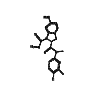 COc1ccc2c(c1)N(C(=O)OC(C)(C)C)C(C(=O)N(C)c1ccc(Cl)c(C)c1)C2